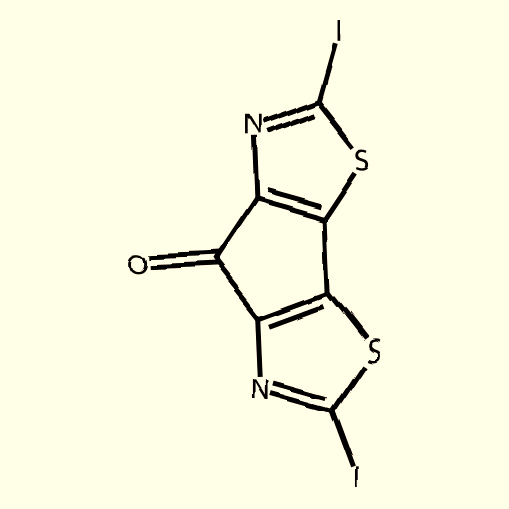 O=C1c2nc(I)sc2-c2sc(I)nc21